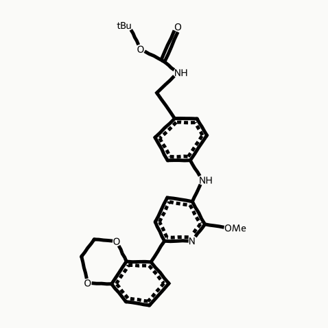 COc1nc(-c2cccc3c2OCCO3)ccc1Nc1ccc(CNC(=O)OC(C)(C)C)cc1